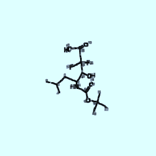 CC(C)CC(NC(=O)OC(C)(C)C)C(O)C(F)(F)C(=O)O